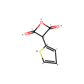 O=C1OC(=O)C1c1cccs1